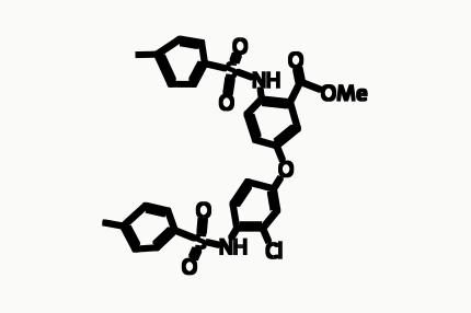 COC(=O)c1cc(Oc2ccc(NS(=O)(=O)c3ccc(C)cc3)c(Cl)c2)ccc1NS(=O)(=O)c1ccc(C)cc1